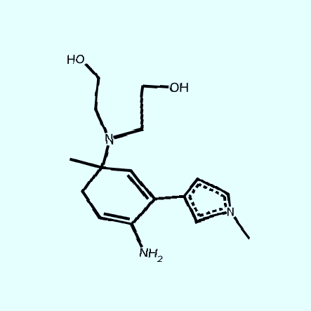 Cn1ccc(C2=CC(C)(N(CCO)CCO)CC=C2N)c1